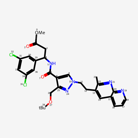 COC(=O)CC(NC(=O)c1cn(CCc2cc3cccnc3nc2C)nc1COC(C)(C)C)c1cc(Cl)cc(Cl)c1